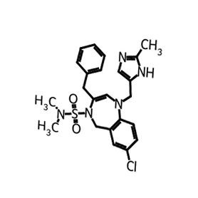 Cc1ncc(CN2C=C(Cc3ccccc3)N(S(=O)(=O)N(C)C)Cc3cc(Cl)ccc32)[nH]1